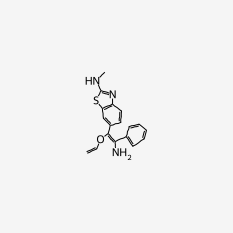 C=CO/C(=C(\N)c1ccccc1)c1ccc2nc(NC)sc2c1